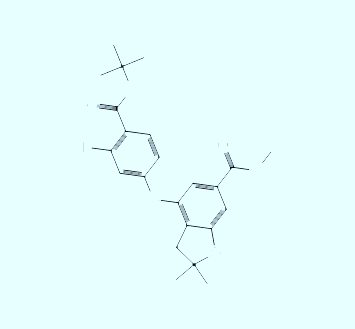 COC(=O)c1cc(Oc2ccc(C(=O)OC(C)(C)C)c(F)c2)c2c(c1)OC(C)(C)C2